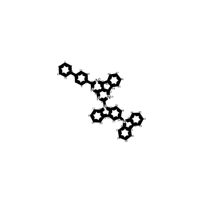 c1ccc(-c2ccc(-c3nc4c5c(nc(-n6c7ccccc7c7cc(-n8c9ccccc9c9ccccc98)ccc76)nc5n3)-c3ccccc3-4)cc2)cc1